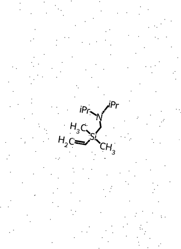 C=C[Si](C)(C)CN(C(C)C)C(C)C